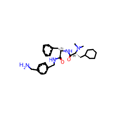 CN(C)[C@H](CC1CCCCC1)C(=O)N[C@@H](Cc1ccccc1)C(=O)NCc1ccc(CN)cc1